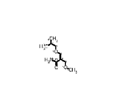 COCC(=COCC(C)C)C(N)=O